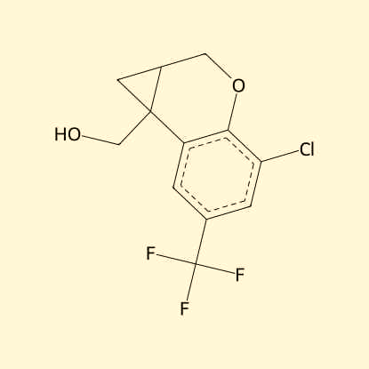 OCC12CC1COc1c(Cl)cc(C(F)(F)F)cc12